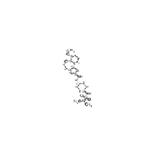 COc1cccc2c1OCCc1sc(NC[C@H]3CC[C@H](NS(=O)(=O)N(C)C)CC3)nc1-2